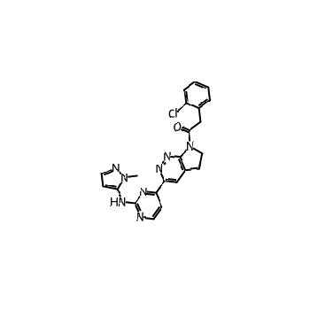 Cn1nccc1Nc1nccc(-c2cc3c(nn2)N(C(=O)Cc2ccccc2Cl)CC3)n1